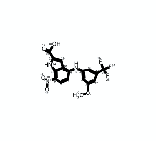 COc1cc(Nc2ccc([N+](=O)[O-])c3[nH]c(C(=O)O)cc23)cc(C(F)(F)F)c1